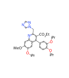 CCOC(=O)c1c(Cn2cncn2)nc2cc(OC)c(OC(C)C)cc2c1-c1ccc(OC(C)C)c(OC(C)C)c1